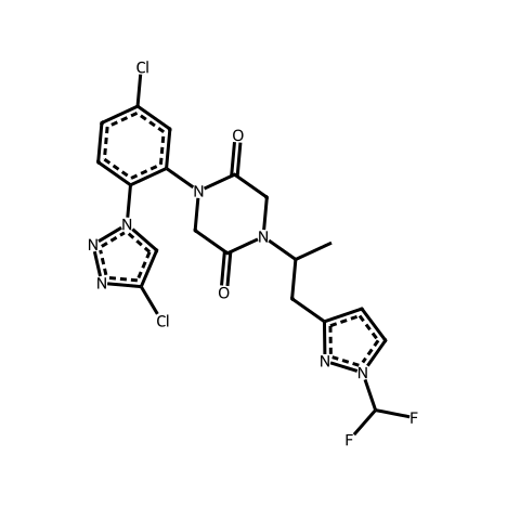 CC(Cc1ccn(C(F)F)n1)N1CC(=O)N(c2cc(Cl)ccc2-n2cc(Cl)nn2)CC1=O